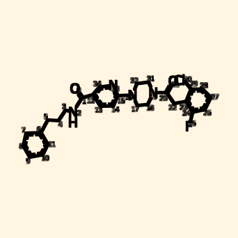 O=C(NCCCc1ccccc1)c1ccc(N2CCN(C(=O)Cc3c(F)cccc3Cl)CC2)nc1